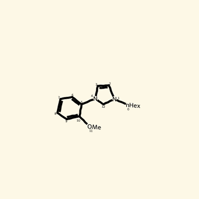 CCCCCCN1C=CN(c2ccccc2OC)C1